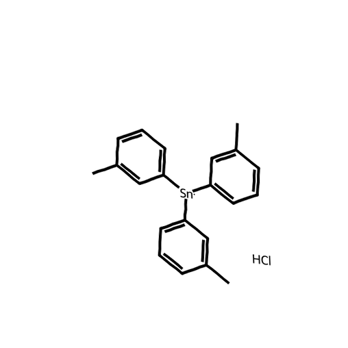 Cc1ccc[c]([Sn]([c]2cccc(C)c2)[c]2cccc(C)c2)c1.Cl